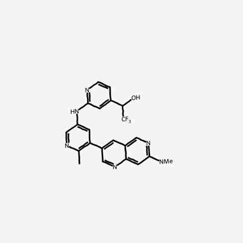 CNc1cc2ncc(-c3cc(Nc4cc(C(O)C(F)(F)F)ccn4)cnc3C)cc2cn1